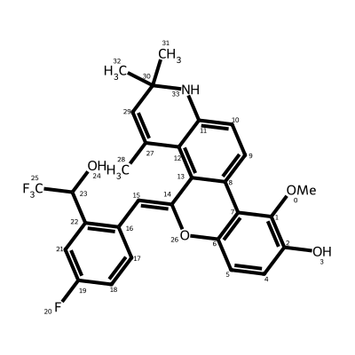 COc1c(O)ccc2c1-c1ccc3c(c1/C(=C/c1ccc(F)cc1C(O)C(F)(F)F)O2)C(C)=CC(C)(C)N3